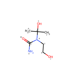 CC(C)(O)N(CCO)C(N)=O